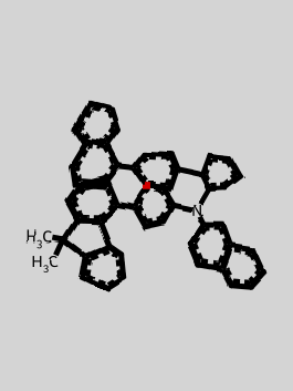 CC1(C)c2ccccc2-c2c(-c3ccc(N(c4ccc5ccccc5c4)c4ccccc4-c4ccc(-c5cccc6ccccc56)cc4)cc3)cccc21